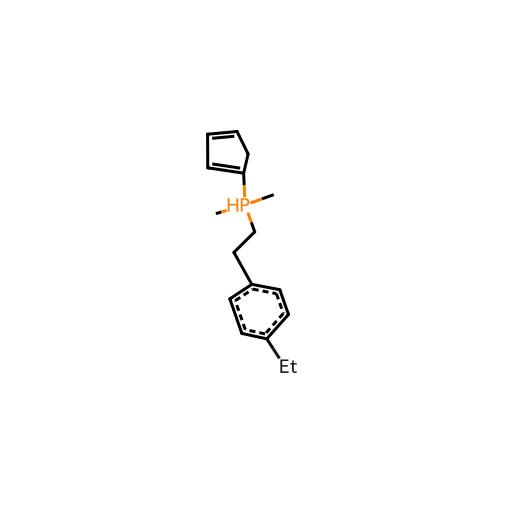 CCc1ccc(CC[PH](C)(C)C2=CC=CC2)cc1